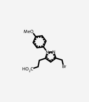 COc1ccc(-n2nc(CBr)cc2CCC(=O)O)cc1